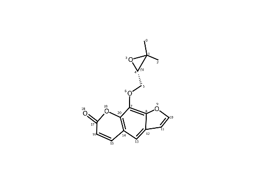 CC1(C)O[C@H]1COc1c2occc2cc2ccc(=O)oc12